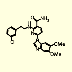 COc1cc2ncn(-c3ccc(C(N)=O)c(NCCc4cccc(Cl)c4)n3)c2cc1OC